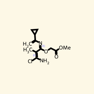 C=C(/N=C(OCC(=O)OC)\C(C)=C(/N)Cl)C1CC1